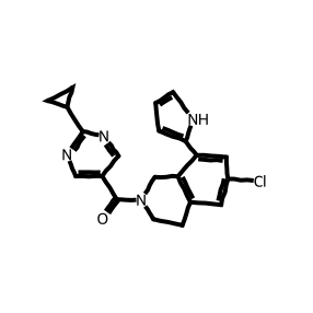 O=C(c1cnc(C2CC2)nc1)N1CCc2cc(Cl)cc(-c3ccc[nH]3)c2C1